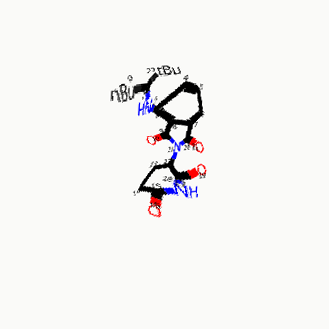 [CH2]CCCC(Nc1cccc2c1C(=O)N(C1CCC(=O)NC1=O)C2=O)C(C)(C)C